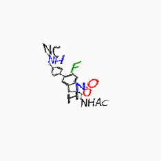 [C-]#[N+]CNCc1ccc(-c2cc3c(cc2F)N2C(=O)O[C@@H](CNC(C)=O)[C@@H]2C3)cc1